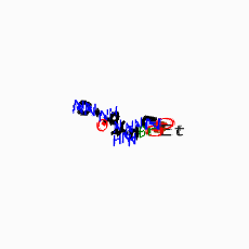 CCS(=O)(=O)N1CCC(Nc2c(Br)cnc3[nH]c(-c4cc(C)n(-c5cccc(C(=O)NCCN6CCN(C)CC6)c5)c4C)nc23)C1